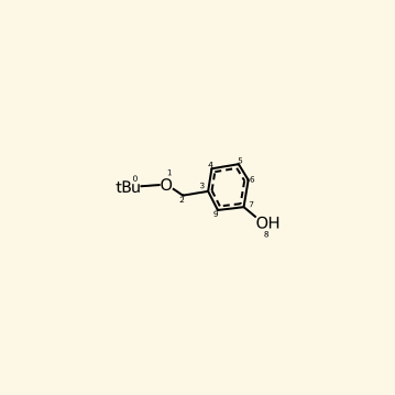 CC(C)(C)OCc1cccc(O)c1